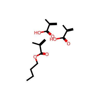 C=C(C)C(=O)O.C=C(C)C(=O)O.C=C(C)C(=O)OCCCC